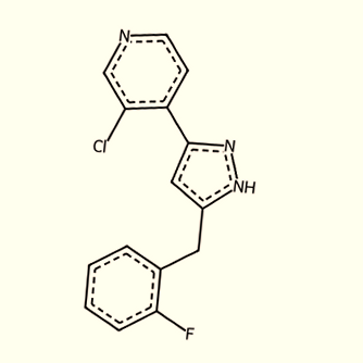 Fc1ccccc1Cc1cc(-c2ccncc2Cl)n[nH]1